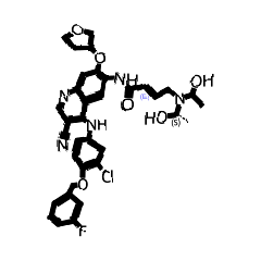 CC(O)N(C/C=C/C(=O)Nc1cc2c(Nc3ccc(OCc4cccc(F)c4)c(Cl)c3)c(C#N)cnc2cc1OC1CCOC1)[C@H](C)O